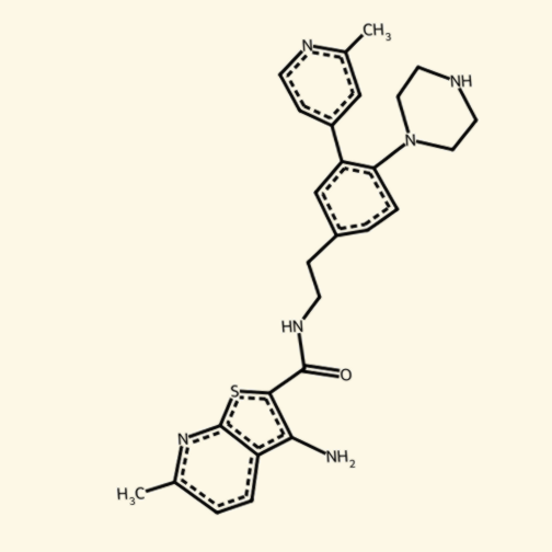 Cc1cc(-c2cc(CCNC(=O)c3sc4nc(C)ccc4c3N)ccc2N2CCNCC2)ccn1